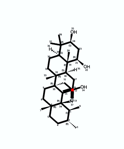 C[C@H]1[C@H](C)CC[C@]2(C)CC[C@]3(CC(=O)O)C(=CC[C@@H]4[C@@]5(C)[C@H](O)C[C@H](O)C(C)(C)[C@@H]5CC[C@]43C)[C@H]12